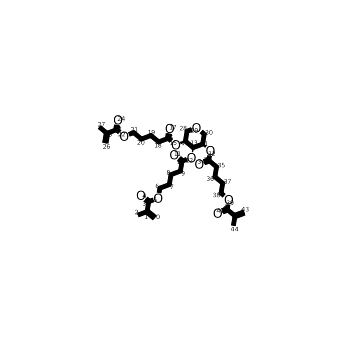 C=C(C)C(=O)OCCCCC(=O)O[C@@H]1[C@@H](OC(=O)CCCCOC(=O)C(=C)C)COC[C@H]1OC(=O)CCCCOC(=O)C(=C)C